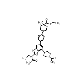 CCOC(=O)C1(C)CCN(c2ncc(-c3cc(C4CCN(C(C)=O)CC4)c4sc(N(CC)C(N)=O)nc4c3)cn2)CC1